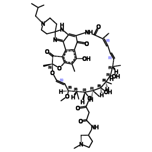 CO[C@H]1/C=C/O[C@@]2(C)Oc3c(C)c(O)c4c(c3C2=O)C2=NC3(CCN(CC(C)C)CC3)NC2=C(NC(=O)/C(C)=C\C=C\[C@H](C)[C@H](O)[C@@H](C)[C@@H](O)[C@@H](C)[C@H](OC(=O)CC(=O)NC2CCN(C)C2)[C@@H]1C)C4=O